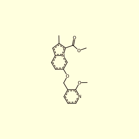 COC(=O)c1c(C)cc2ccc(OCc3cccnc3OC)cn12